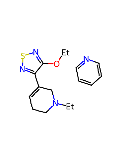 CCOc1nsnc1C1=CCCN(CC)C1.c1ccncc1